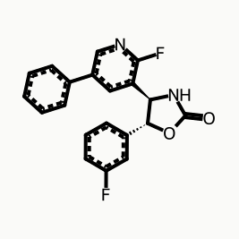 O=C1N[C@H](c2cc(-c3ccccc3)cnc2F)[C@@H](c2cccc(F)c2)O1